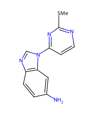 CSc1nccc(-n2cnc3ccc(N)cc32)n1